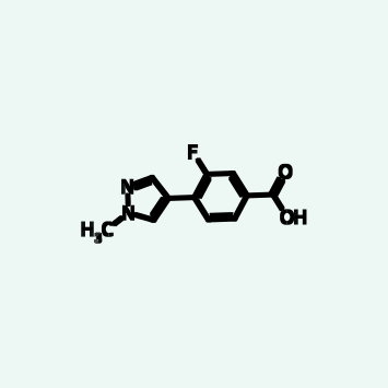 Cn1cc(-c2ccc(C(=O)O)cc2F)cn1